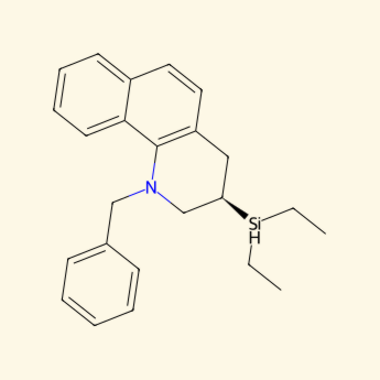 CC[SiH](CC)[C@@H]1Cc2ccc3ccccc3c2N(Cc2ccccc2)C1